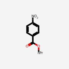 CCCOC(=O)c1ccc([N+](=O)[O-])cc1